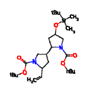 C=CC1CC(C2CC(O[Si](C)(C)C(C)(C)C)CN2C(=O)OCCCC)CN1C(=O)OC(C)(C)C